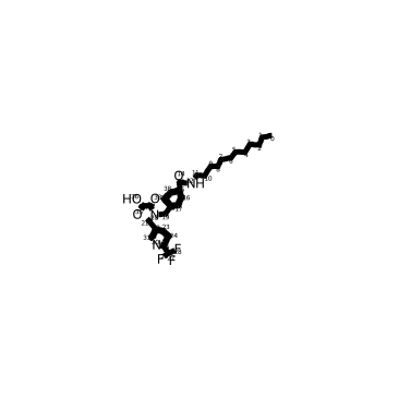 CCCCCCCCCCCCNC(=O)c1ccc(CN(Cc2ccc(C(F)(F)F)nc2)C(=O)C(=O)O)cc1